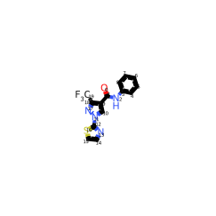 O=C(Nc1ccccc1)c1cn(-c2nccs2)nc1C(F)(F)F